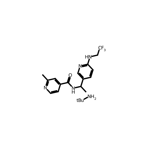 CC(C)(C)N.Cc1cc(C(=O)NC(C)c2ccc(NCC(F)(F)F)nc2)ccn1